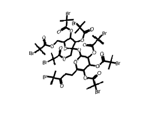 CC(C)(Br)C(=O)CCC1OC(OC2(COC(=O)C(C)(C)Br)OC(COC(=O)C(C)(C)Br)C(OC(=O)C(C)(C)Br)C2OC(=O)C(C)(C)Br)C(OC(=O)C(C)(C)Br)C(OC(=O)C(C)(C)Br)C1OC(=O)C(C)(C)Br